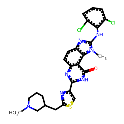 Cn1c(Nc2c(Cl)cccc2Cl)nc2ccc3nc(-c4csc(CC5CCCN(C(=O)O)C5)n4)[nH]c(=O)c3c21